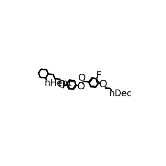 CCCCCCCCCCCCOc1ccc(C(=O)Oc2ccc(OCCCC3CCCCC3CCCCCCC)cc2)cc1F